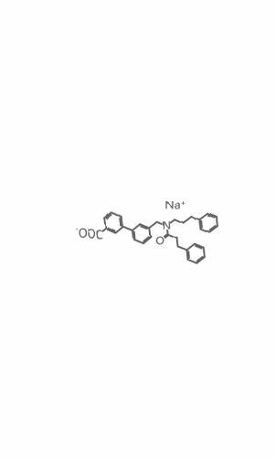 O=C([O-])c1cccc(-c2cccc(CN(CCCc3ccccc3)C(=O)CCc3ccccc3)c2)c1.[Na+]